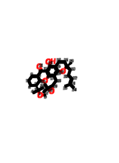 COC(C)(C)[C@H]1CCC=C2C(=O)c3c(O)c4c(c(CC5OC5(C)C)c3OC21)O[C@@](C)(CCC=C(C)C)C=C4